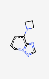 [c]1nc2c(N3CCC3)cccn2n1